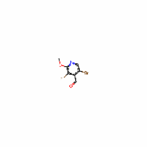 COc1ncc(Br)c(C=O)c1Br